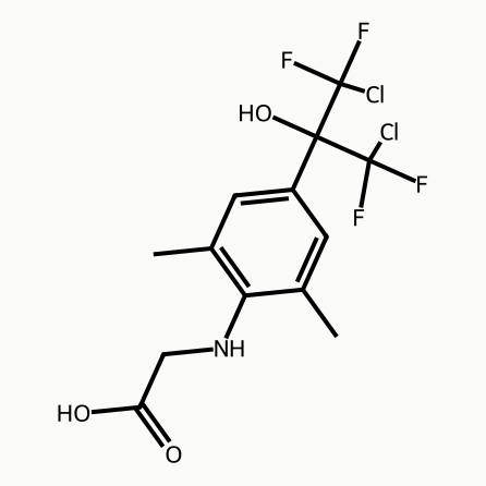 Cc1cc(C(O)(C(F)(F)Cl)C(F)(F)Cl)cc(C)c1NCC(=O)O